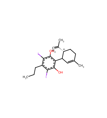 C=C(C)[C@@H]1CCC(C)=CC1c1c(O)c(I)c(CCC)c(I)c1O